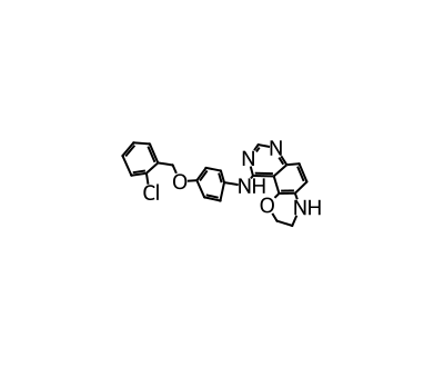 Clc1ccccc1COc1ccc(Nc2ncnc3ccc4c(c23)OCCN4)cc1